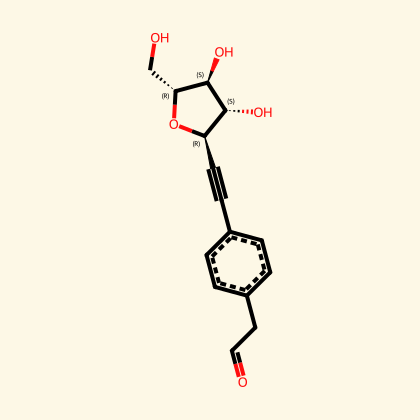 O=CCc1ccc(C#C[C@H]2O[C@H](CO)[C@@H](O)[C@@H]2O)cc1